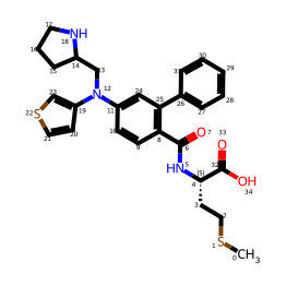 CSCC[C@H](NC(=O)c1ccc(N(CC2CCCN2)c2ccsc2)cc1-c1ccccc1)C(=O)O